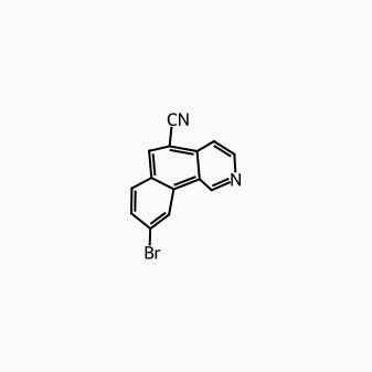 N#Cc1cc2ccc(Br)cc2c2cnccc12